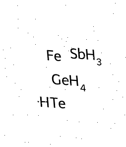 [Fe].[GeH4].[SbH3].[TeH]